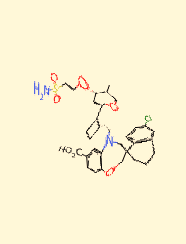 CC1CO[C@@H]([C@@H]2CC[C@H]2CN2C[C@@]3(CCCc4cc(Cl)ccc43)COc3ccc(C(=O)O)cc32)C[C@@H]1OCCS(N)(=O)=O